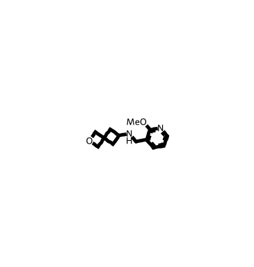 COc1ncccc1CNC1CC2(COC2)C1